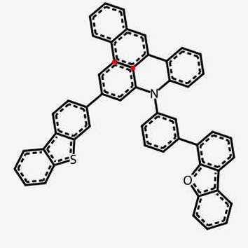 c1cc(-c2ccc3c(c2)sc2ccccc23)cc(N(c2cccc(-c3cccc4c3oc3ccccc34)c2)c2ccccc2-c2ccc3ccccc3c2)c1